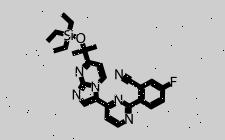 CC[Si](CC)(CC)OC(C)(C)c1ccn2c(-c3ccnc(-c4ccc(F)cc4C#N)n3)cnc2n1